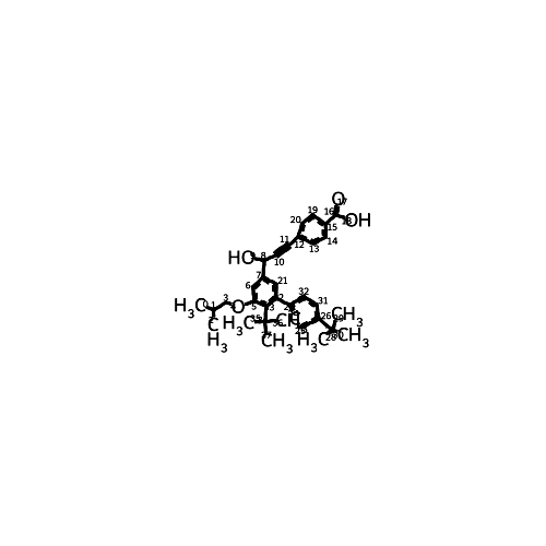 CC(C)COc1cc(C(O)C#Cc2ccc(C(=O)O)cc2)cc(-c2ccc(C(C)(C)C)cc2)c1C(C)(C)C